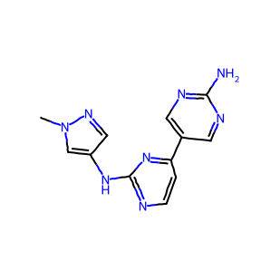 Cn1cc(Nc2nccc(-c3cnc(N)nc3)n2)cn1